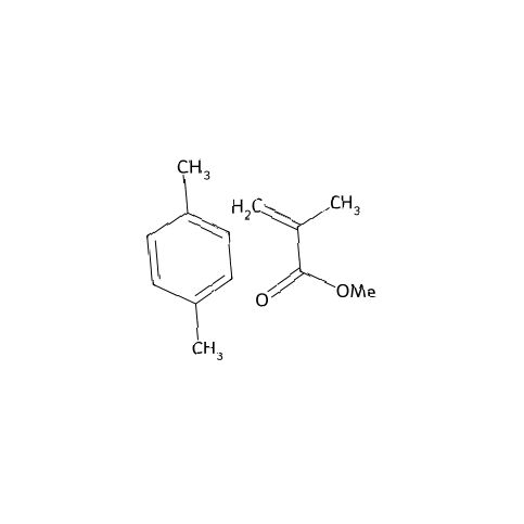 C=C(C)C(=O)OC.Cc1ccc(C)cc1